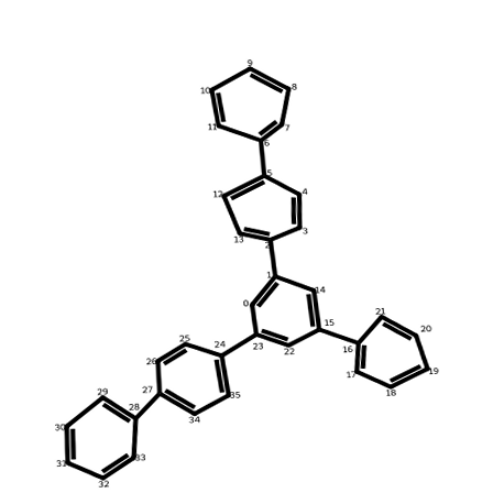 [c]1c(-c2ccc(-c3ccccc3)cc2)cc(-c2ccccc2)cc1-c1ccc(-c2ccccc2)cc1